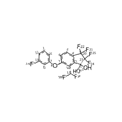 OC1(O)c2c(ccc(Oc3cccc(F)c3)c2C(F)F)C(F)(F)C1(F)F